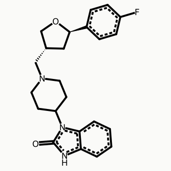 O=c1[nH]c2ccccc2n1C1CCN(C[C@@H]2CO[C@@H](c3ccc(F)cc3)C2)CC1